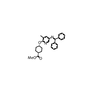 COC(=O)[C@H]1CC[C@H](Oc2ncc(N=C(c3ccccc3)c3ccccc3)cc2C)CC1